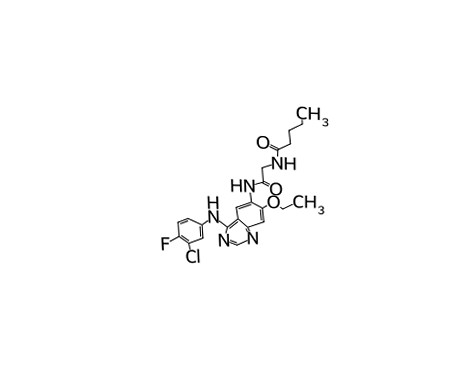 CCCCC(=O)NCC(=O)Nc1cc2c(Nc3ccc(F)c(Cl)c3)ncnc2cc1OCC